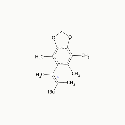 C/C(=C(/C)C(C)(C)C)c1c(C)c(C)c2c(c1C)OCO2